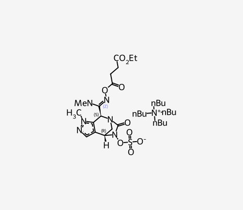 CCCC[N+](CCCC)(CCCC)CCCC.CCOC(=O)CCC(=O)O/N=C(\NC)[C@@H]1c2c(cnn2C)[C@@H]2CN1C(=O)N2OS(=O)(=O)[O-]